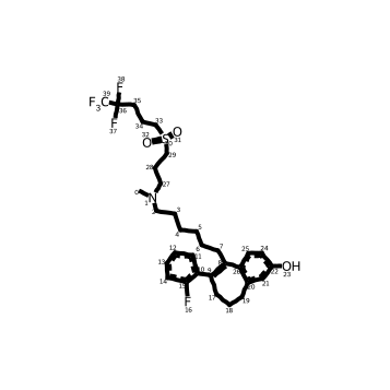 CN(CCCCCCC1=C(c2ccccc2F)CCCc2cc(O)ccc21)CCCS(=O)(=O)CCCC(F)(F)C(F)(F)F